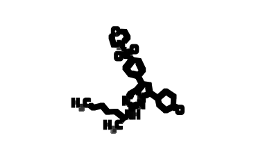 CCCCC[C@H](C)Nc1ncc2c(-c3ccc(S(=O)(=O)N4CCOCC4)cc3)cc(C3CCC(=O)CC3)n2n1